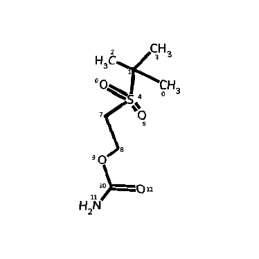 CC(C)(C)S(=O)(=O)CCOC(N)=O